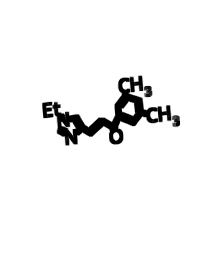 CCn1cnc(C=CC(=O)c2cc(C)cc(C)c2)c1